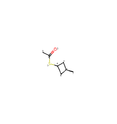 CC(=O)SC1CC(C)C1